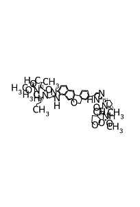 CCC[C@H](C)N(Cc1nc2ccc3cc4c(cc3c2[nH]1)OCc1cc(-c2cnc([C@@H]3CC[C@H](C)N3C(=O)[C@@H](NC(=O)OC)C3(C)CCOCC3)[nH]2)ccc1-4)C(=O)[C@@H](NC(=O)OC)C(C)C